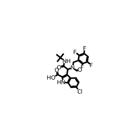 CC(C)(C)NC(=O)C(c1c(C(=O)O)[nH]c2cc(Cl)ccc12)N(C=O)Cc1c(F)c(F)cc(F)c1F